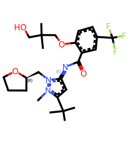 Cn1c(C(C)(C)C)c/c(=N\C(=O)c2cc(C(F)(F)F)ccc2OCC(C)(C)CO)n1C[C@H]1CCCO1